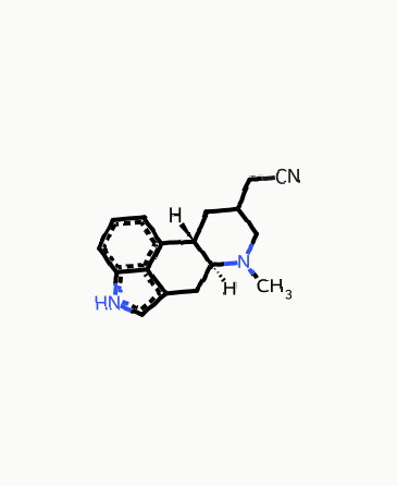 CN1CC(CC#N)C[C@H]2c3cccc4[nH]cc(c34)C[C@@H]21